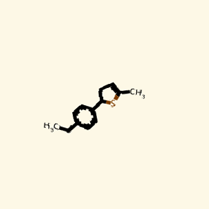 CCc1ccc(C2CC=C(C)S2)cc1